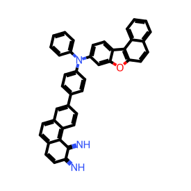 N=C1C=Cc2ccc3cc(-c4ccc(N(c5ccccc5)c5ccc6c(c5)oc5ccc7ccccc7c56)cc4)ccc3c2C1=N